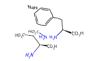 NC(=O)O.N[C@@H](CC(=O)O)C(=O)O.N[C@@H](Cc1ccccc1)C(=O)O.[NaH]